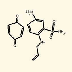 C=CCNc1ccc(N)cc1S(N)(=O)=O.O=C1C=CC(=O)C=C1